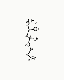 C=CC(=O)CC(=O)OCCC(C)C